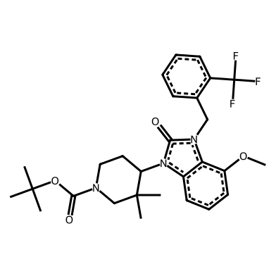 COc1cccc2c1n(Cc1ccccc1C(F)(F)F)c(=O)n2C1CCN(C(=O)OC(C)(C)C)CC1(C)C